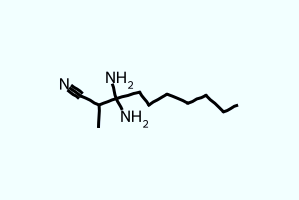 CCCCCCCC(N)(N)C(C)C#N